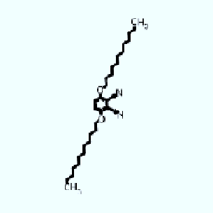 CCCCCCCCCCCCOc1ccc(OCCCCCCCCCCCC)c(C#N)c1C#N